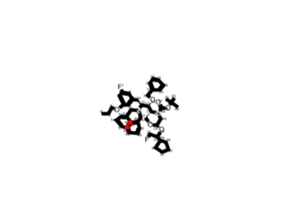 CCCOc1cc(F)cc(C[C@@H]([C@H](OCc2ccccc2)[C@H]2CO[C@H](OC(CF)C3CCCC3)CN2C(=O)OC(C)(C)C)N(Cc2ccccc2)Cc2ccccc2)c1